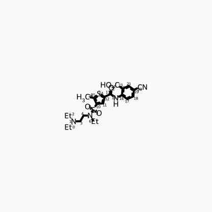 CCN(CC)CCN(CC)S(=O)(=O)c1cc(C(=O)Nc2ccc(C#N)cc2C(=O)O)sc1C